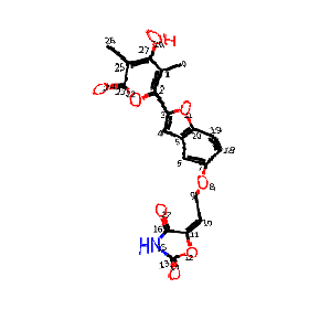 Cc1c(-c2cc3cc(OCC=C4OC(=O)NC4=O)ccc3o2)oc(=O)c(C)c1O